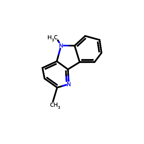 Cc1ccc2c(n1)c1ccccc1n2C